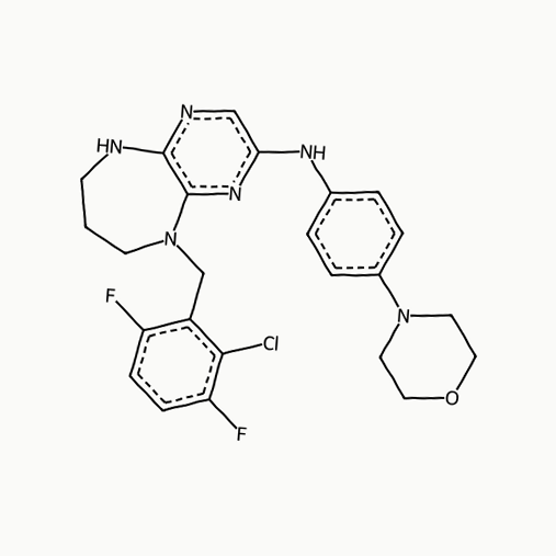 Fc1ccc(F)c(CN2CCCNc3ncc(Nc4ccc(N5CCOCC5)cc4)nc32)c1Cl